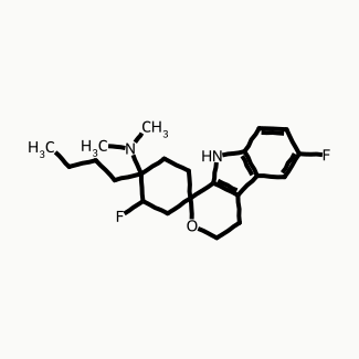 CCCCC1(N(C)C)CCC2(CC1F)OCCc1c2[nH]c2ccc(F)cc12